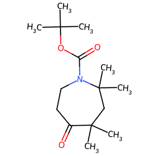 CC(C)(C)OC(=O)N1CCC(=O)C(C)(C)CC1(C)C